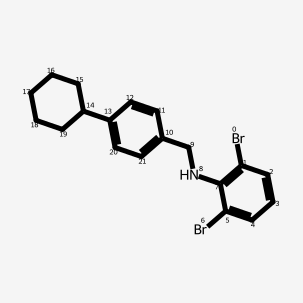 Brc1cccc(Br)c1NCc1ccc(C2CCCCC2)cc1